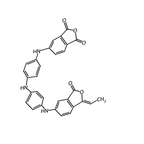 CC=C1OC(=O)c2cc(Nc3ccc(Nc4ccc(Nc5ccc6c(c5)C(=O)OC6=O)cc4)cc3)ccc21